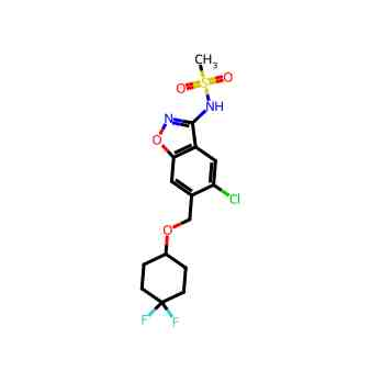 CS(=O)(=O)Nc1noc2cc(COC3CCC(F)(F)CC3)c(Cl)cc12